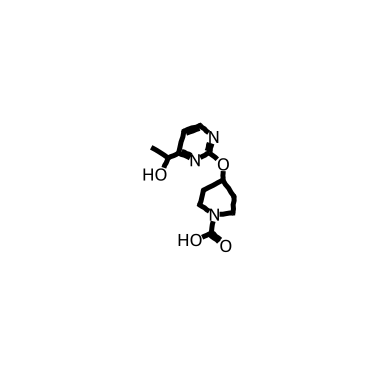 CC(O)c1ccnc(OC2CCN(C(=O)O)CC2)n1